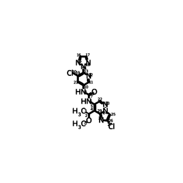 CO[C@@H](C)c1c(NC(=O)Nc2cnc(-n3nccn3)c(Cl)c2)cnn2cc(Cl)nc12